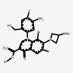 C=C(OCC)c1cn(-c2cc(N)c(F)cc2CO)c2c(Br)c(N3CC(NC)C3)c(F)cc2c1=O